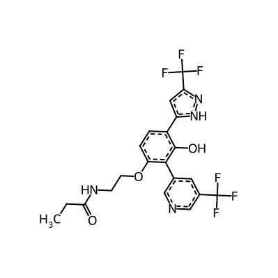 CCC(=O)NCCOc1ccc(-c2cc(C(F)(F)F)n[nH]2)c(O)c1-c1cncc(C(F)(F)F)c1